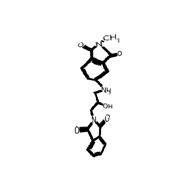 CN1C(=O)c2ccc(NCC(O)CN3C(=O)c4ccccc4C3=O)cc2C1=O